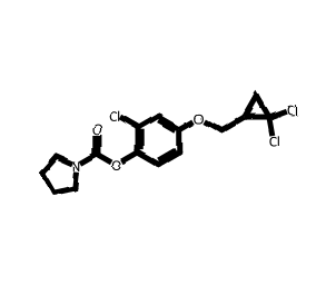 O=C(Oc1ccc(OCC2CC2(Cl)Cl)cc1Cl)N1CCCC1